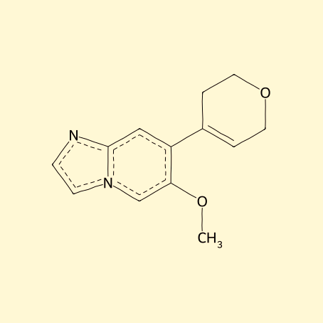 COc1cn2ccnc2cc1C1=CCOCC1